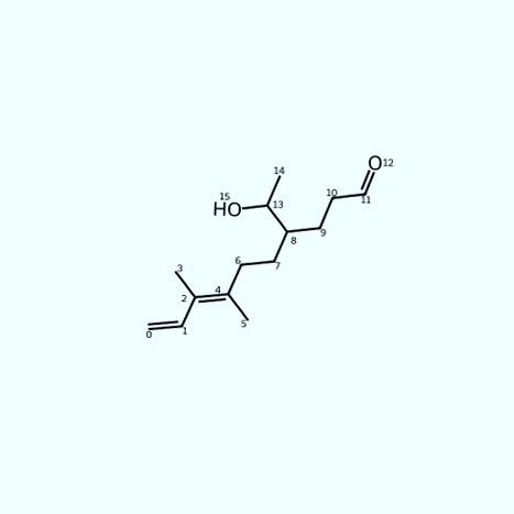 C=C/C(C)=C(\C)CCC(CCC=O)C(C)O